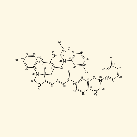 C=CC1=C(CC2(C)/C(=C\C=C\C(C)c3ccc4c(c3)CN(c3cccc(C)c3)CO4)OCN2c2cccc(C)c2)CN(c2cccc(C)c2)C(C(=C)C)O1